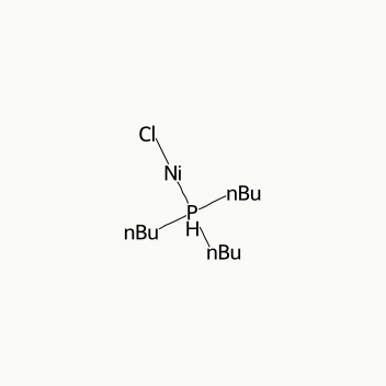 CCCC[PH](CCCC)(CCCC)[Ni][Cl]